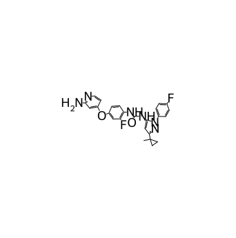 CC1(c2cc(NC(=O)Nc3ccc(Oc4ccnc(N)c4)cc3F)n(-c3ccc(F)cc3)n2)CC1